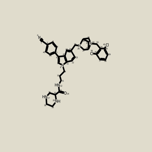 N#Cc1ccc(-c2cn(CCCNC(=O)C3CNCCN3)c3ccc(CN4CC5CC4CN5Cc4c(Cl)cccc4Cl)cc23)cc1